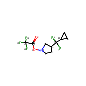 O=C(ON1CCC(C(F)(F)C2CC2)C1)C(F)(F)F